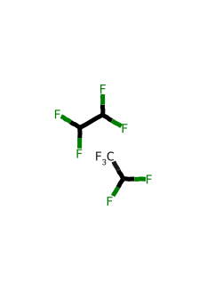 FC(F)C(F)(F)F.FC(F)C(F)F